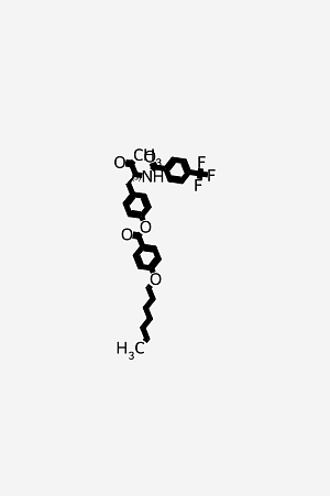 CCCCCCCOc1ccc(C(=O)Oc2ccc(C[C@H](NC(=O)c3ccc(C(F)(F)F)cc3)C(C)=O)cc2)cc1